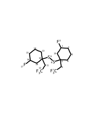 FC1CCCC(CC(F)(F)F)(SSC2(CC(F)(F)F)CCCC(F)C2)C1